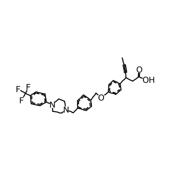 CC#CC(CC(=O)O)c1ccc(OCc2ccc(CN3CCN(c4ccc(C(F)(F)F)cc4)CC3)cc2)cc1